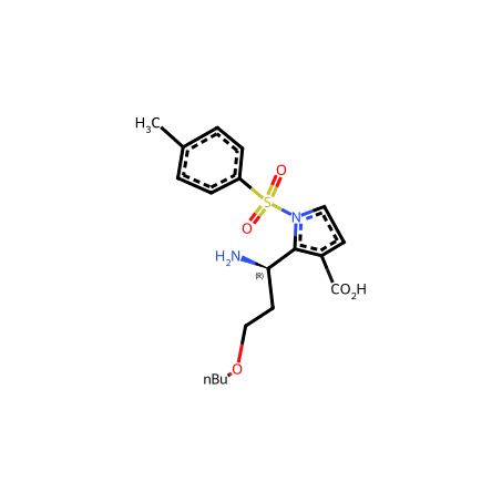 CCCCOCC[C@@H](N)c1c(C(=O)O)ccn1S(=O)(=O)c1ccc(C)cc1